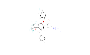 NC1CC(c2ccc(C(OCc3ccccc3)(C(F)(F)F)C(F)(F)F)cc2)(S(=O)(=O)c2ccc(F)cc2)C1